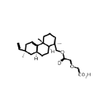 C=C[C@@]1(C)CC=C2[C@@H](CC[C@@H]3[C@](C)(COC(=O)COCC(=O)O)CCC[C@@]23C)C1